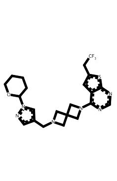 FC(F)(F)Cc1cc2c(N3CC4(CN(Cc5cnn(C6CCCCO6)c5)C4)C3)ncnc2s1